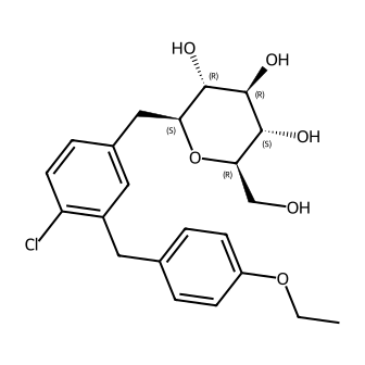 CCOc1ccc(Cc2cc(C[C@@H]3O[C@H](CO)[C@@H](O)[C@H](O)[C@H]3O)ccc2Cl)cc1